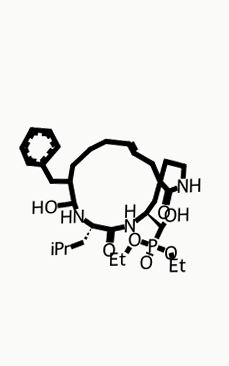 CCOP(=O)(OCC)C(O)[C@@H]1CC2(C/C=C/CCCC(Cc3ccccc3)C(O)N[C@@H](CC(C)C)C(=O)N1)CCNC2=O